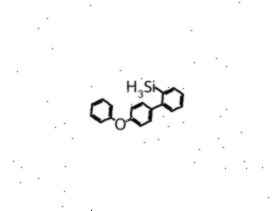 [SiH3]c1ccccc1-c1ccc(Oc2ccccc2)cc1